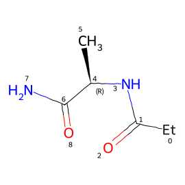 CCC(=O)N[C@H](C)C(N)=O